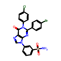 NS(=O)(=O)c1cccc(-n2cnc3c(=O)n(-c4ccc(Cl)cc4)c(-c4ccc(Br)cc4)nc32)c1